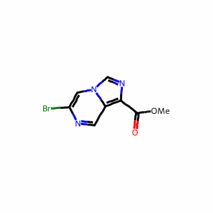 COC(=O)c1ncn2cc(Br)ncc12